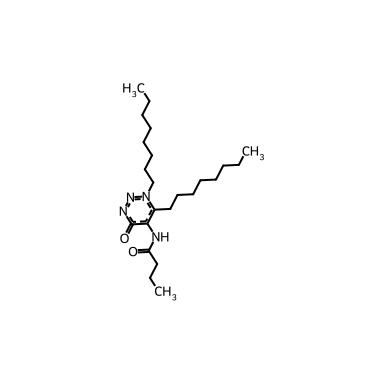 CCCCCCCCc1c(NC(=O)CCC)c(=O)nnn1CCCCCCCC